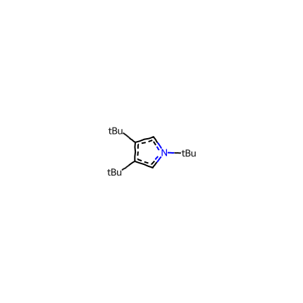 CC(C)(C)c1cn(C(C)(C)C)cc1C(C)(C)C